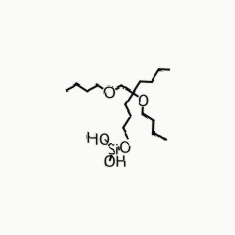 CCCCOCC(CCCC)(CCCC)OCCCC.O=[Si](O)O